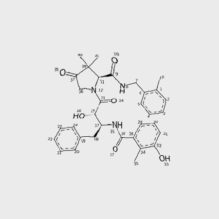 Cc1ccccc1CNC(=O)[C@H]1N(C(=O)[C@@H](O)[C@H](Cc2ccccc2)NC(=O)c2cccc(O)c2C)CC(=O)C1(C)C